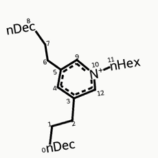 CCCCCCCCCCCCc1cc(CCCCCCCCCCCC)c[n+](CCCCCC)c1